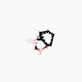 B1COc2ccccc21